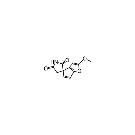 COc1cc2c(o1)C=CC21CC(=O)NC1=O